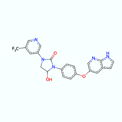 O=C1N(c2cncc(C(F)(F)F)c2)CC(O)N1c1ccc(Oc2cnc3[nH]ccc3c2)cc1